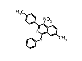 Cc1ccc(-c2nc(Sc3ccccc3)c3cc(C)ccc3c2[N+](=O)[O-])cc1